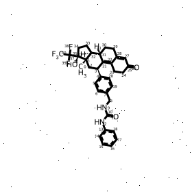 C[C@]12C[C@H](c3ccc(CNC(=O)Nc4ccccc4)cc3)C3=C4CCC(=O)C=C4CC[C@H]3[C@@H]1CC[C@@]2(O)C(F)(F)C(F)(F)F